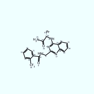 CC(C)[C@H](Nc1nc(CNC(=O)c2ccccc2C(F)(F)F)nc2ccccc12)C(N)=O